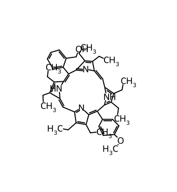 CCC1=C(CC)c2nc1cc1[nH]c(c(CC)c1CC)c(-c1ccccc1CO)c1nc(cc3[nH]c(c(CC)c3CC)c2-c2ccc(OC)cc2)C(CC)=C1CC